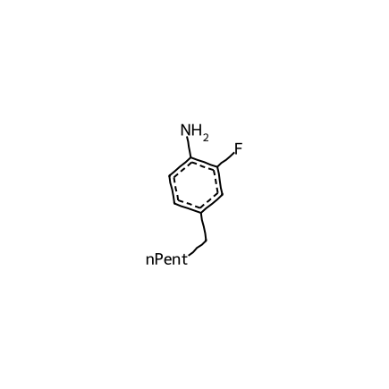 CCCCCCc1ccc(N)c(F)c1